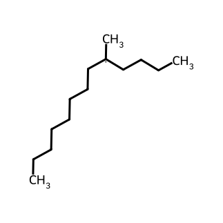 CCCCCCCC[C](C)CCCC